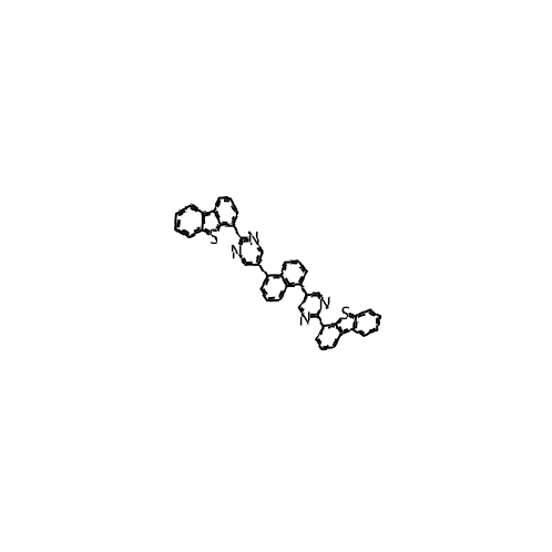 c1ccc2c(c1)sc1c(-c3ncc(-c4cccc5c(-c6cnc(-c7cccc8c7sc7ccccc78)nc6)cccc45)cn3)cccc12